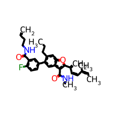 C=CCCNC(=O)c1cc(-c2cc3c(C(=O)NC)c(C(=C)/C=C\C(C)=C/C)oc3cc2CCC)ccc1F